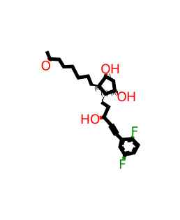 CC(=O)CCCCCC[C@@H]1[C@@H](CCC(O)C#Cc2cc(F)ccc2F)[C@H](O)C[C@@H]1O